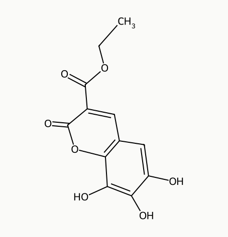 CCOC(=O)c1cc2cc(O)c(O)c(O)c2oc1=O